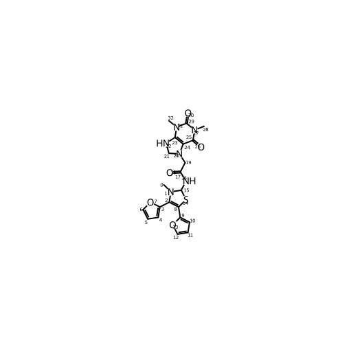 CN1C(c2ccco2)=C(c2ccco2)SC1NC(=O)CN1CNc2c1c(=O)n(C)c(=O)n2C